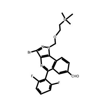 C[Si](C)(C)CCOCn1nc(Br)c2nc(-c3c(F)cccc3F)c3cc(C=O)ccc3c21